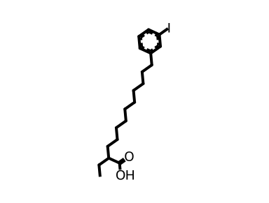 CCC(CCCCCCCCCCc1cccc(I)c1)C(=O)O